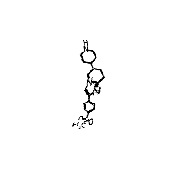 CS(=O)(=O)c1ccc(-c2cn3c(n2)CC[C@H](C2CCNCC2)C3)cc1